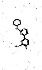 COc1cc(-c2ccnc(NC3CCCCC3)n2)ccc1F